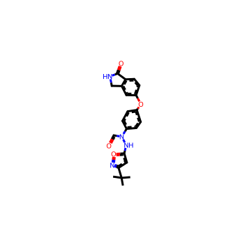 CC(C)(C)c1cc(NN(C=O)c2ccc(Oc3ccc4c(c3)CNC4=O)cc2)on1